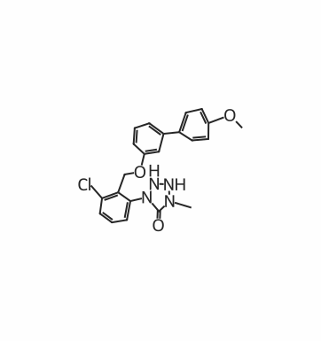 COc1ccc(-c2cccc(OCc3c(Cl)cccc3N3NNN(C)C3=O)c2)cc1